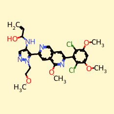 C=CC(O)Nc1cnn(CCOC)c1-c1cc2c(OC)nc(-c3c(Cl)c(OC)cc(OC)c3Cl)cc2cn1